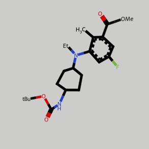 CCN(c1cc(F)cc(C(=O)OC)c1C)C1CCC(NC(=O)OC(C)(C)C)CC1